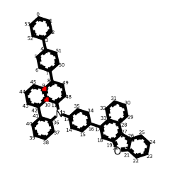 c1ccc(-c2ccc(-c3ccc(N(c4ccc(-c5cc6oc7ccccc7c6c6ccccc56)cc4)c4ccccc4-c4ccccc4)cc3)cc2)cc1